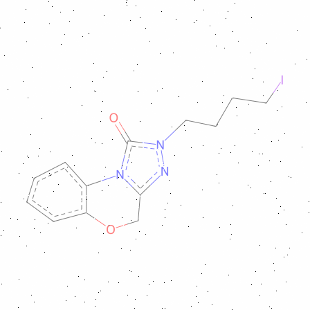 O=c1n(CCCCI)nc2n1-c1ccccc1OC2